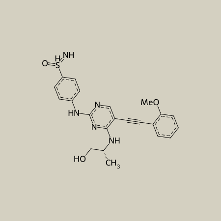 COc1ccccc1C#Cc1cnc(Nc2ccc([SH](=N)=O)cc2)nc1N[C@H](C)CO